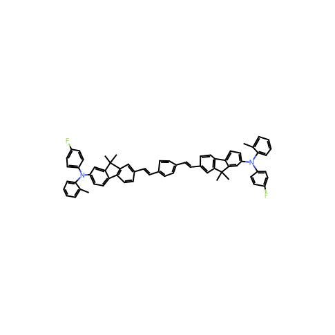 Cc1ccccc1N(c1ccc(F)cc1)c1ccc2c(c1)C(C)(C)c1cc(/C=C/c3ccc(/C=C/c4ccc5c(c4)C(C)(C)c4cc(N(c6ccc(F)cc6)c6ccccc6C)ccc4-5)cc3)ccc1-2